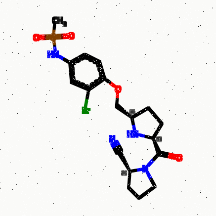 CS(=O)(=O)Nc1ccc(OC[C@H]2CC[C@@H](C(=O)N3CCC[C@H]3C#N)N2)c(Br)c1